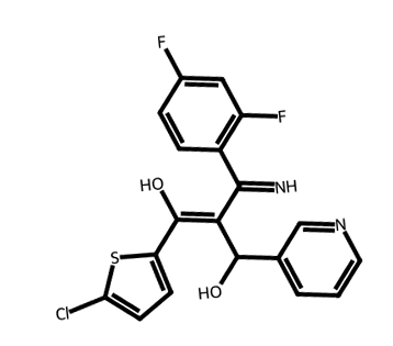 N=C(/C(=C(\O)c1ccc(Cl)s1)C(O)c1cccnc1)c1ccc(F)cc1F